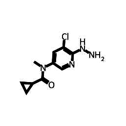 CN(C(=O)C1CC1)c1cnc(NN)c(Cl)c1